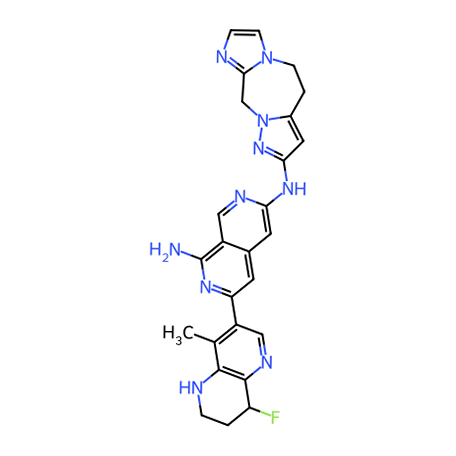 Cc1c(-c2cc3cc(Nc4cc5n(n4)Cc4nccn4CC5)ncc3c(N)n2)cnc2c1NCCC2F